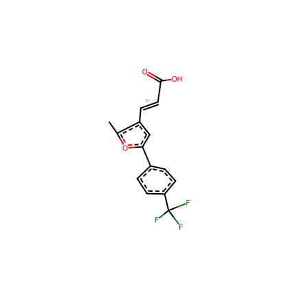 Cc1oc(-c2ccc(C(F)(F)F)cc2)cc1/C=C/C(=O)O